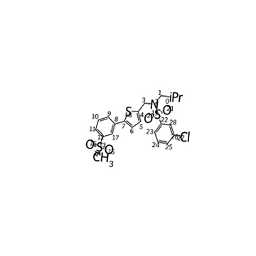 CC(C)CN(Cc1ccc(-c2cccc(S(C)(=O)=O)c2)s1)S(=O)(=O)c1cccc(Cl)c1